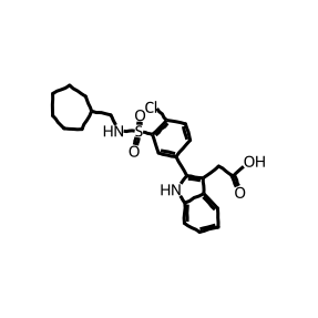 O=C(O)Cc1c(-c2ccc(Cl)c(S(=O)(=O)NCC3CCCCCC3)c2)[nH]c2ccccc12